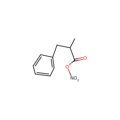 CC(Cc1ccccc1)C(=O)O[N+](=O)[O-]